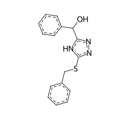 OC(c1ccccc1)c1nnc(SCc2ccccc2)[nH]1